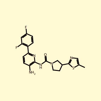 Cc1cnc(C2CCN(C(=O)Nc3nc(-c4ccc(F)cc4F)ccc3N)C2)s1